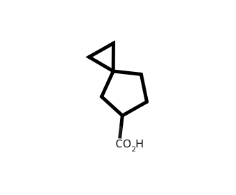 O=C(O)C1CCC2(CC2)C1